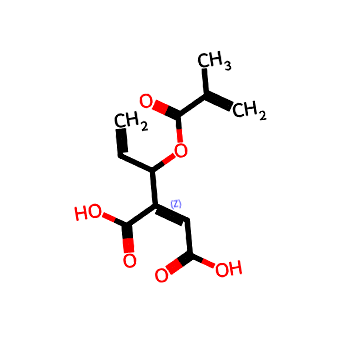 C=CC(OC(=O)C(=C)C)/C(=C/C(=O)O)C(=O)O